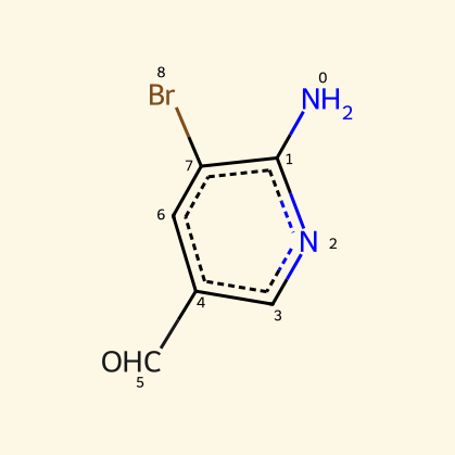 Nc1ncc(C=O)cc1Br